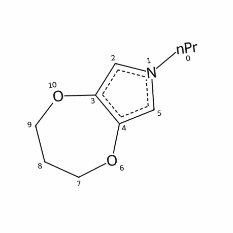 CCCn1cc2c(c1)OCCCO2